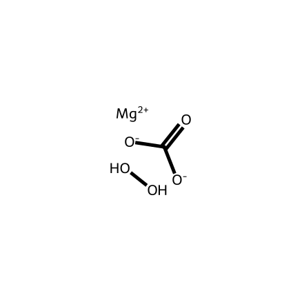 O=C([O-])[O-].OO.[Mg+2]